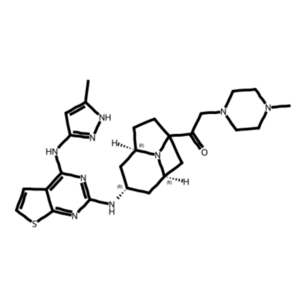 Cc1cc(Nc2nc(N[C@@H]3C[C@H]4CCC5(C(=O)CN6CCN(C)CC6)C[C@@H](C3)N45)nc3sccc23)n[nH]1